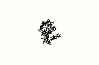 CC(C)CC(NC(CC(=O)Nc1nc(-c2ccccc2)cs1)C(=O)O)C(=O)O.CC(C)CC(NC(Cc1ccc(Cc2ccccc2)cc1)C(=O)O)C(=O)O.COc1ccc(-c2ccc(CC(NC(CC(C)C)C(=O)O)C(=O)O)o2)cc1